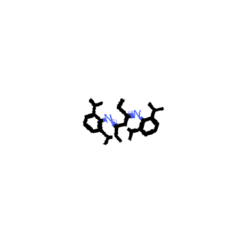 CC/C(C/C(CC)=N/c1c(C(C)C)cccc1C(C)C)=N/c1c(C(C)C)cccc1C(C)C